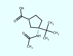 CC(=O)N[C@@]1(C(C)(C)C)CCN(C(=O)O)C1